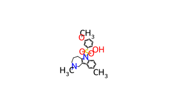 COc1ccc(O)c(S(=O)(=O)n2c3c(c4cc(C)ccc42)CN(C)CCC3)c1